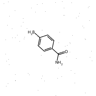 Bc1ccc(C(N)=O)cc1